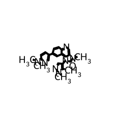 Cc1c(-n2c(=O)n(C)c3cnc4ccc(-c5ccc(N(C)C)nc5)cc4c32)cnn1C